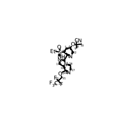 CCS(=N)(=O)c1cc(OC(C)(C)C#N)cnc1-c1ncc2c(OCC(F)(F)C(F)(F)F)nccn12